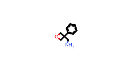 NCC1(c2ccccc2)COC1